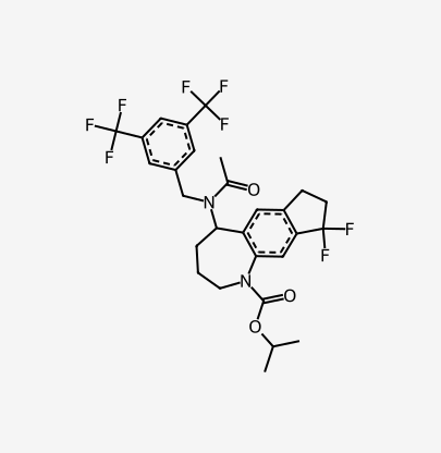 CC(=O)N(Cc1cc(C(F)(F)F)cc(C(F)(F)F)c1)C1CCCN(C(=O)OC(C)C)c2cc3c(cc21)CCC3(F)F